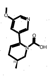 COc1cncc(C2=CC[C@H](C)CN2C(=O)O)c1